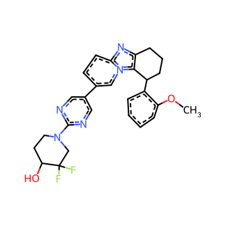 COc1ccccc1C1CCCc2nc3ccc(-c4cnc(N5CCC(O)C(F)(F)C5)nc4)cn3c21